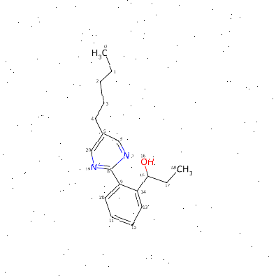 CCCCCc1cnc(-c2ccccc2C(O)CC)nc1